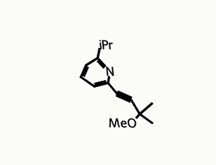 COC(C)(C)C#Cc1cccc(C(C)C)n1